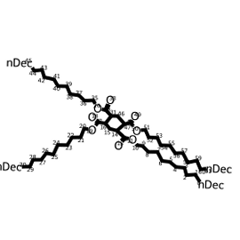 CCCCCCCCCCCCCCCCCCCCOC(=O)C1CC(C(=O)OCCCCCCCCCCCCCCCCCCCC)C(C(=O)OCCCCCCCCCCCCCCCCCCCC)CC1C(=O)OCCCCCCCCCCCCCCCCCCCC